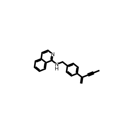 C=C(C#CC)c1ccc(CNc2nccc3ccccc23)cc1